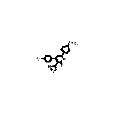 CCCCOc1ccc(-c2cc(-c3ccc(C)cc3)c(-c3nnc[nH]3)c(=O)[nH]2)cc1